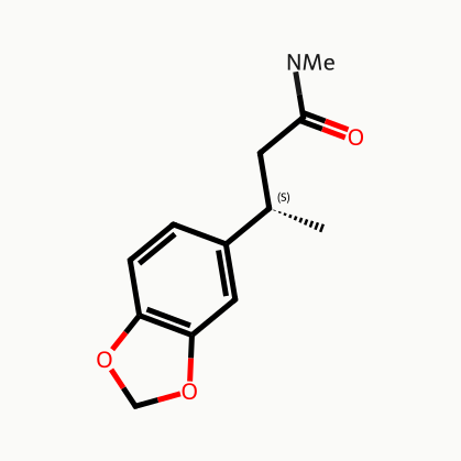 CNC(=O)C[C@H](C)c1ccc2c(c1)OCO2